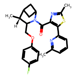 Cc1cccc(-c2sc(C)nc2C(=O)N2C3CC(C3)[C@@H](C)C2COc2ccc(F)cc2)n1